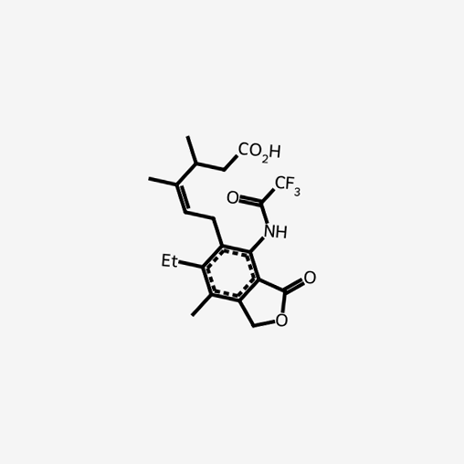 CCc1c(C)c2c(c(NC(=O)C(F)(F)F)c1CC=C(C)C(C)CC(=O)O)C(=O)OC2